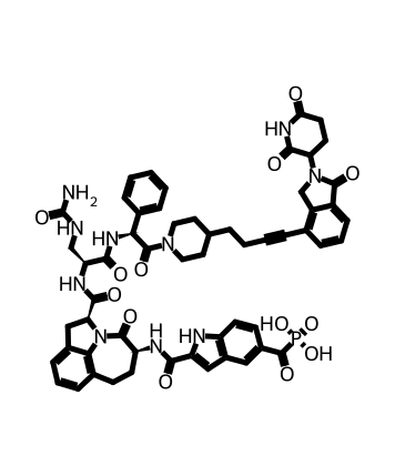 NC(=O)NC[C@H](NC(=O)[C@@H]1Cc2cccc3c2N1C(=O)[C@@H](NC(=O)c1cc2cc(C(=O)P(=O)(O)O)ccc2[nH]1)CC3)C(=O)N[C@H](C(=O)N1CCC(CCC#Cc2cccc3c2CN(C2CCC(=O)NC2=O)C3=O)CC1)c1ccccc1